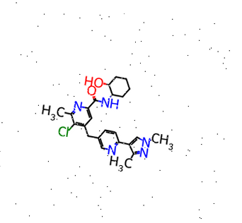 Cc1nn(C)cc1-c1ccc(Cc2cc(C(=O)N[C@H]3CCCC[C@@H]3O)nc(C)c2Cl)cn1